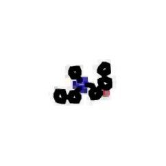 c1ccc(-c2cccc(-c3nc(Cc4cccc5oc6ccc(-c7ccccc7)cc6c45)nc(-c4ccccc4)n3)c2)cc1